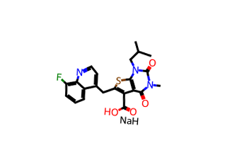 CC(C)Cn1c(=O)n(C)c(=O)c2c(C(=O)O)c(Cc3ccnc4c(F)cccc34)sc21.[NaH]